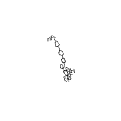 CCCC1CCC(C2CCC(c3ccc(CC(=O)c4ccc(OCC)c(F)c4O)cc3)CC2)CC1